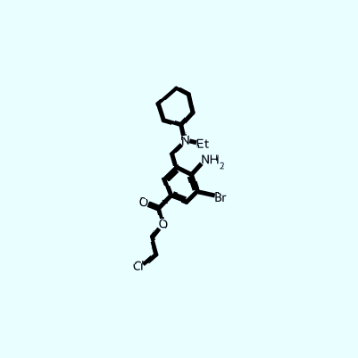 CCN(Cc1cc(C(=O)OCCCl)cc(Br)c1N)C1CCCCC1